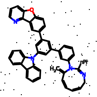 C=C1/C=C\C=C/C/N=C(/CCC)N1c1cccc(-c2cc(-c3ccc4oc5cccnc5c4c3)cc(-n3c4ccccc4c4ccccc43)c2)c1